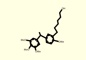 COc1ccc(C(C)c2cc(OC)c(OC)c(OC)c2)cc1CCCCCCO